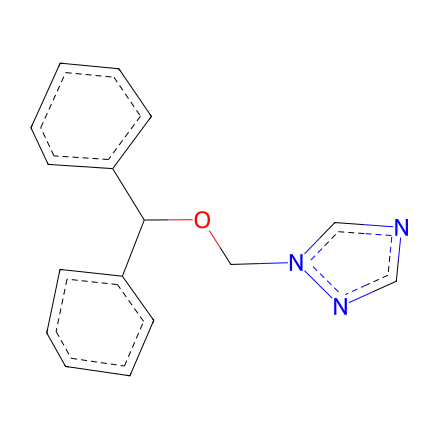 c1ccc(C(OCn2cncn2)c2ccccc2)cc1